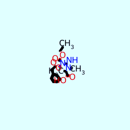 CCCOC(=O)N(OC(=O)Cc1ccccc1)C(=N)N(C)C(C)C(=O)O